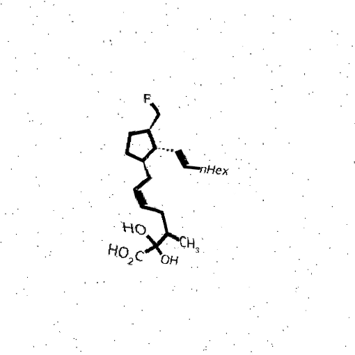 CCCCCC/C=C/[C@H]1[C@H](CF)CC[C@@H]1C/C=C\CC(C)C(O)(O)C(=O)O